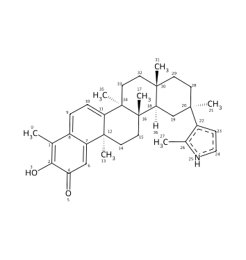 CC1=C(O)C(=O)C=C2C1=CC=C1[C@@]2(C)CC[C@@]2(C)[C@@H]3C[C@](C)(c4cc[nH]c4C)CC[C@@]3(C)CC[C@]12C